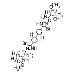 COC(=O)N[C@H](C(=O)N1CCC[C@H]1c1nc(Br)c(-c2cc3c4c(c2)OCc2cc(-c5[nH]c([C@@H]6CCCN6C(=O)[C@@H](NC(=O)OC)C(C)C)nc5Br)cc(c2-4)OC3)[nH]1)C(C)C